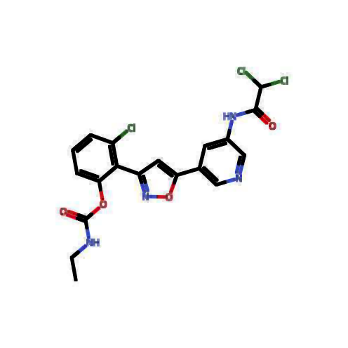 CCNC(=O)Oc1cccc(Cl)c1-c1cc(-c2cncc(NC(=O)C(Cl)Cl)c2)on1